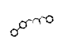 O=C(CNCc1ccc(-c2ccccc2)cc1)Oc1ccccc1